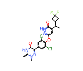 C=C1NC(=O)C(c2cc(Cl)c(Oc3cc(C(C)C4CC(F)(F)C4)c(=O)[nH]n3)c(Cl)c2)=NN1C